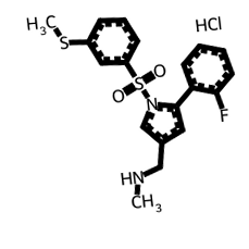 CNCc1cc(-c2ccccc2F)n(S(=O)(=O)c2cccc(SC)c2)c1.Cl